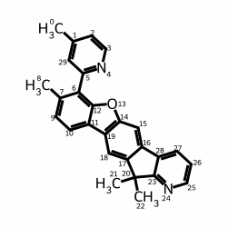 Cc1ccnc(-c2c(C)ccc3c2oc2cc4c(cc23)C(C)(C)c2ncccc2-4)c1